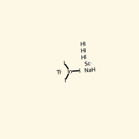 I.I.I.[I][In]([I])[I].[NaH].[Sc].[Tl]